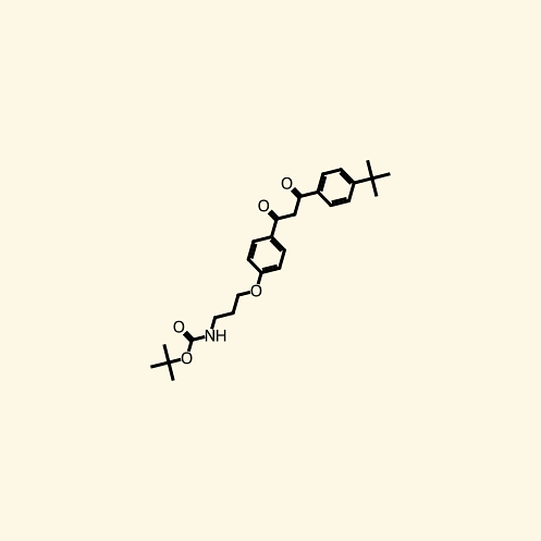 CC(C)(C)OC(=O)NCCCOc1ccc(C(=O)CC(=O)c2ccc(C(C)(C)C)cc2)cc1